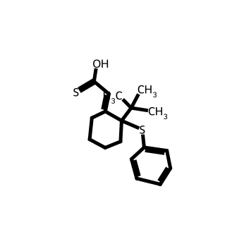 CC(C)(C)C1(Sc2ccccc2)CCCCC1=CC(O)=S